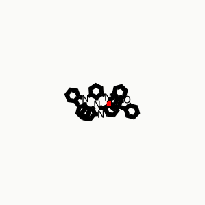 c1cc(-n2c3ccccc3c3ccccc32)c(-n2c(-c3ccc4oc5ccccc5c4c3)nc3ccccc32)c(-n2c3ccccc3c3ccccc32)c1